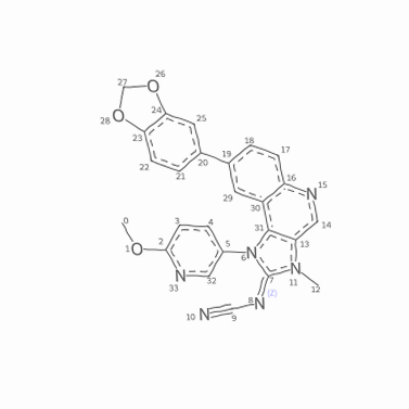 COc1ccc(-n2/c(=N\C#N)n(C)c3cnc4ccc(-c5ccc6c(c5)OCO6)cc4c32)cn1